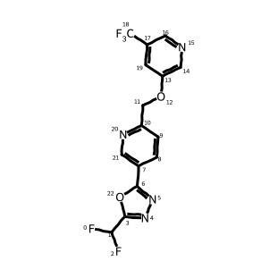 FC(F)c1nnc(-c2ccc(COc3cncc(C(F)(F)F)c3)nc2)o1